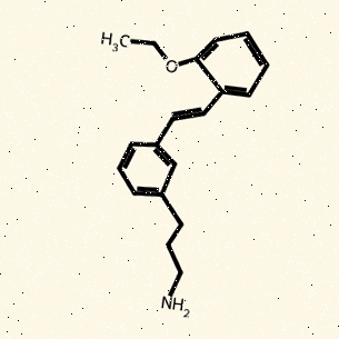 CCOc1ccccc1C=Cc1cccc(CCCN)c1